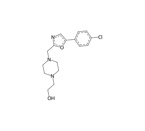 OCCN1CCN(Cc2ncc(-c3ccc(Cl)cc3)o2)CC1